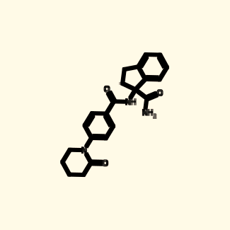 NC(=O)C1(NC(=O)c2ccc(N3CCCCC3=O)cc2)[CH]Cc2ccccc21